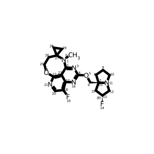 CN1c2nc(OC[C@@]34CCCN3C[C@H](F)C4)nc3c(F)cnc(c23)OCCC12CC2